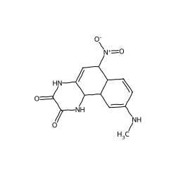 CNC1=CC2C3NC(=O)C(=O)NC3=CC([N+](=O)[O-])C2C=C1